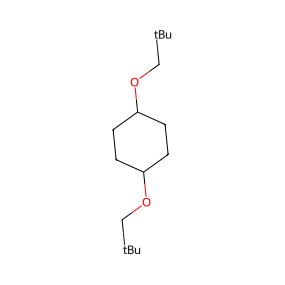 CC(C)(C)COC1CCC(OCC(C)(C)C)CC1